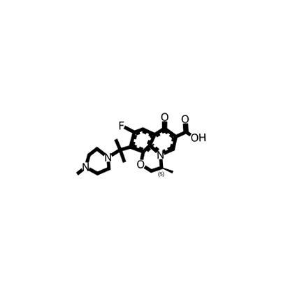 C[C@H]1COc2c(C(C)(C)N3CCN(C)CC3)c(F)cc3c(=O)c(C(=O)O)cn1c23